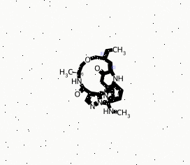 C/C=C1\C=C(/C(=O)Cc2ccccn2)Nc2cc(NC)n3ncc(c3n2)C(=O)N[C@H](C)COC1